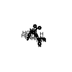 CCC(=O)NC1CC(n2cnc3c(NCC(c4ccccc4)c4ccccc4)nc(N4CC[C@@H](Nc5nc(NC6CCN(C)C6)nc(N6CCN(C)CC6)n5)C4)nc32)[C@H](O)[C@@H]1O